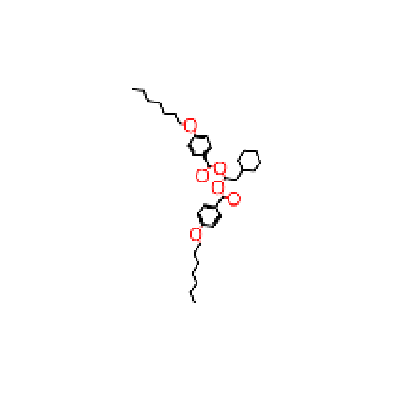 CCCCCCCOc1ccc(C(=O)OC(CC2CCCCC2)OC(=O)c2ccc(OCCCCCCC)cc2)cc1